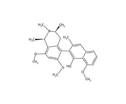 COc1cc(OC)c2c(c1-c1c(C)cc3cccc(OC)c3c1O)C[C@H](C)N(C)[C@@H]2C